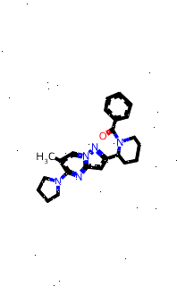 Cc1cn2nc(C3CCCCN3C(=O)c3ccccc3)cc2nc1N1CCCC1